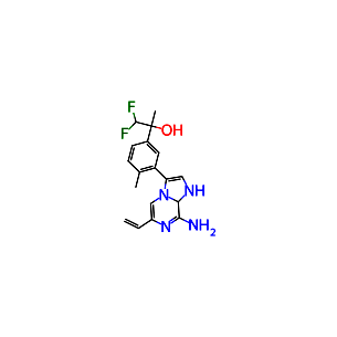 C=CC1=CN2C(c3cc(C(C)(O)C(F)F)ccc3C)=CNC2C(N)=N1